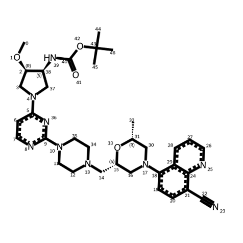 CO[C@@H]1CN(c2ccnc(N3CCN(C[C@H]4CN(c5ccc(C#N)c6ncccc56)C[C@@H](C)O4)CC3)n2)C[C@@H]1NC(=O)OC(C)(C)C